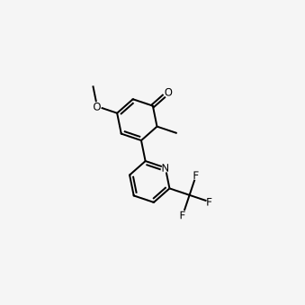 COC1=CC(=O)C(C)C(c2cccc(C(F)(F)F)n2)=C1